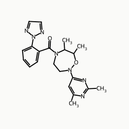 Cc1cc(N2CCN(C(=O)c3ccccc3-n3nccn3)C(C)C(C)O2)nc(C)n1